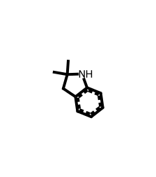 CC1(C)Cc2ccccc2N1